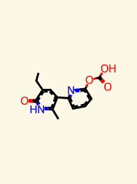 CCc1cc(-c2cccc(OC(=O)O)n2)c(C)[nH]c1=O